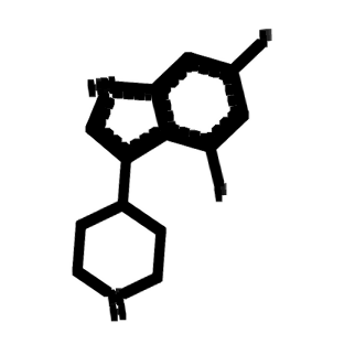 Fc1cc(F)c2c(C3CCNCC3)c[nH]c2c1